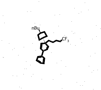 CCCC[C@H]1CC[C@H](C2(CCCCC(F)(F)F)C=CC(c3ccccc3)C=C2)CC1